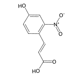 O=C(O)C=Cc1ccc(O)cc1[N+](=O)[O-]